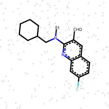 CCN(CC1CCCCC1)c1nc2cc(F)ccc2cc1C=O